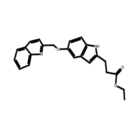 CCOC(=O)CCc1cc2cc(OCc3ccc4ccccc4n3)ccc2[nH]1